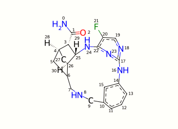 NC(=O)[C@H]1[C@@H]2CC3CNCc4cccc(c4)Nc4ncc(F)c(n4)N[C@@H]1[C@@H]3C2